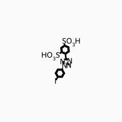 O=S(=O)(O)c1ccc(-c2nnn(-c3ccc(I)cc3)n2)c(S(=O)(=O)O)c1